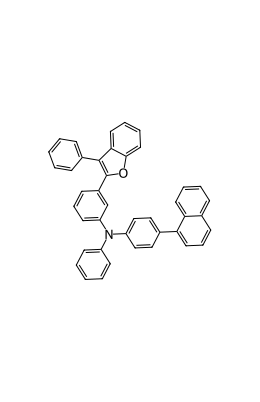 c1ccc(-c2c(-c3cccc(N(c4ccccc4)c4ccc(-c5cccc6ccccc56)cc4)c3)oc3ccccc23)cc1